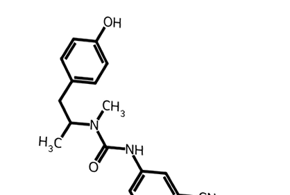 CC(Cc1ccc(O)cc1)N(C)C(=O)Nc1cccc(C#N)c1